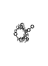 O=C1COc2ccc(cc2)C[C@@H](C(=O)O)NC(=O)[C@@H](Cc2cccs2)NC(=O)[C@H](Cc2ccc(-c3ccccc3)cc2)NC(=O)[C@@H](Cc2cccs2)N1